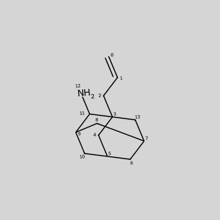 C=CCC12CC3CC(CC(C3)C1N)C2